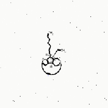 C=CCCCCN1[C@H]2c3oc4cc3[C@@H]3CCN(CCCC/C=C\CC4)C[C@]23C[C@@H]1C=C